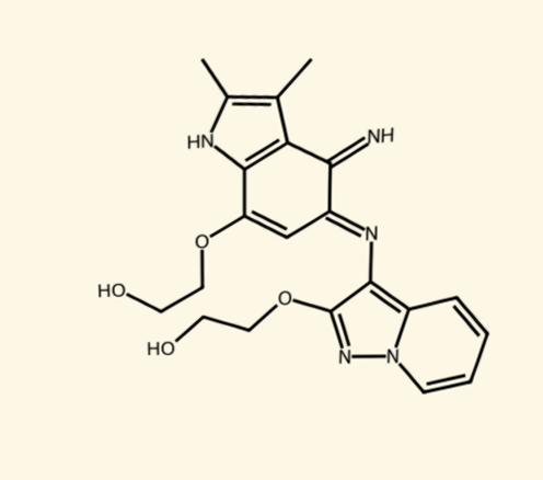 Cc1[nH]c2c(c1C)C(=N)C(=Nc1c(OCCO)nn3ccccc13)C=C2OCCO